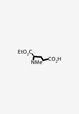 CCOC(=O)[C@@H](CCC(=O)O)NC